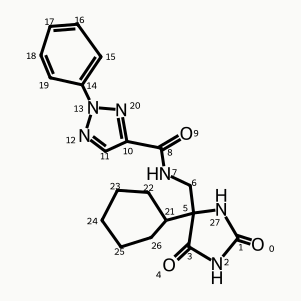 O=C1NC(=O)C(CNC(=O)c2cnn(-c3ccccc3)n2)(C2CCCCC2)N1